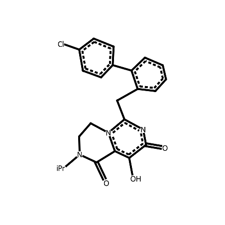 CC(C)N1CCn2c(Cc3ccccc3-c3ccc(Cl)cc3)nc(=O)c(O)c2C1=O